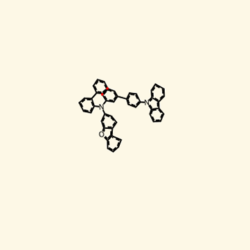 c1ccc(-c2ccccc2N(c2cccc(-c3ccc(-n4c5ccccc5c5ccccc54)cc3)c2)c2ccc3c(c2)oc2ccccc23)cc1